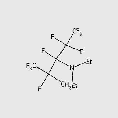 CCN(CC)C(F)(C(C)(F)C(F)(F)F)C(F)(F)C(F)(F)F